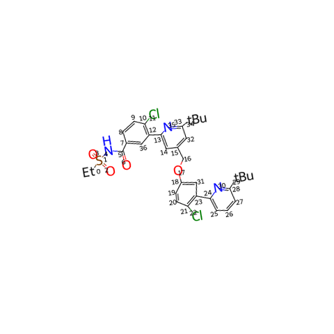 CCS(=O)(=O)NC(=O)c1ccc(Cl)c(-c2cc(COc3ccc(Cl)c(-c4cccc(C(C)(C)C)n4)c3)cc(C(C)(C)C)n2)c1